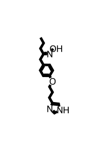 CCCC(Cc1ccc(OCCCc2c[nH]cn2)cc1)=NO